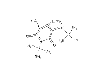 BC(B)(B)n1c(=O)c2c(ncn2C(B)(B)B)n(C)c1=O